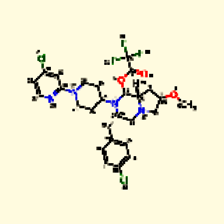 CO[C@@H]1C[C@H]2C(OC(=O)C(F)(F)F)N(C3CCN(c4cc(Cl)ccn4)CC3)[C@@H](Cc3ccc(Cl)cc3)CN2C1